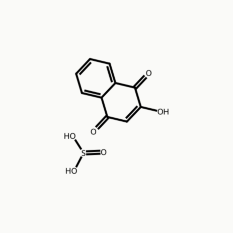 O=C1C=C(O)C(=O)c2ccccc21.O=S(O)O